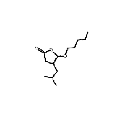 CCCCCOC1OC(=O)CC1CC(C)C